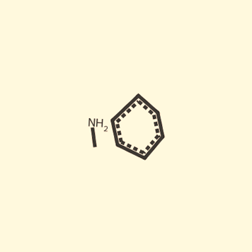 CN.c1ccccc1